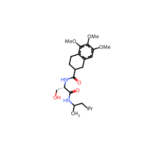 COc1cc2c(c(OC)c1OC)CCC(C(=O)N[C@@H](CO)C(=O)NC(C)CC(C)C)C2